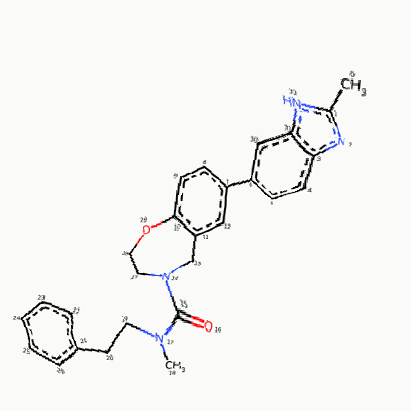 Cc1nc2ccc(-c3ccc4c(c3)CN(C(=O)N(C)CCc3ccccc3)CCO4)cc2[nH]1